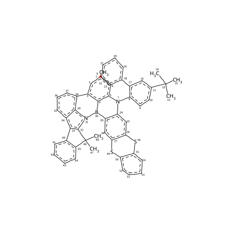 Cc1cc2c3c(c1)N(c1ccc(C(C)(C)C)cc1-c1ccccc1)c1cc4c(cc1B3n1c3c(c5cccc-2c51)-c1ccccc1C3(C)C)Sc1ccccc1S4